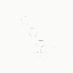 CC1(C)OB(c2ccc(-c3cnc([C@@]4(C(C)(C)C)CCCN4C(=O)O)[nH]3)cc2)OC1(C)C